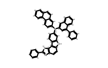 c1ccc(-c2nc3ccc4oc5cc(N(c6cc(-c7ccccc7)c7ccccc7c6)c6ccc7c(ccc8ccccc87)c6)ccc5c4c3s2)cc1